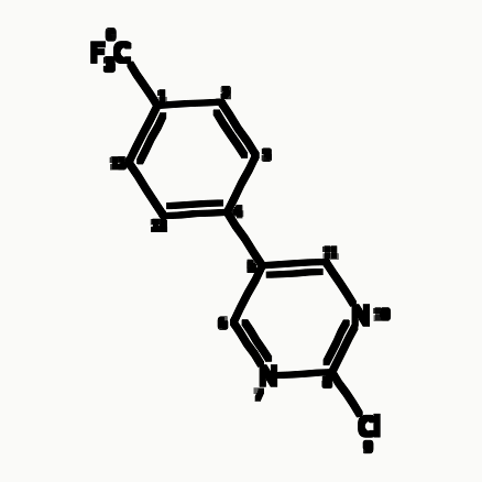 FC(F)(F)c1ccc(-c2cnc(Cl)nc2)cc1